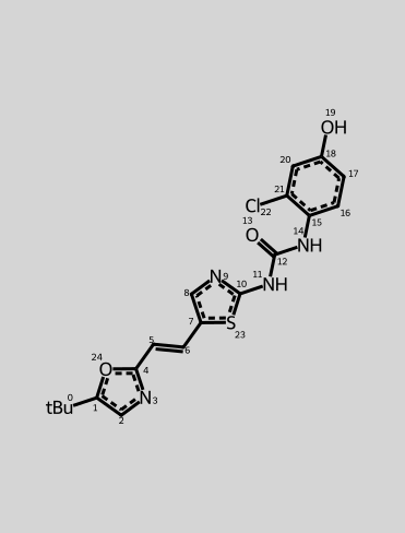 CC(C)(C)c1cnc(C=Cc2cnc(NC(=O)Nc3ccc(O)cc3Cl)s2)o1